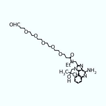 CCN(Cc1nc2c(N)nc3ccccc3c2n1CC(C)(C)O)C(=O)CCOCCOCCOCCOCCOCCC=O